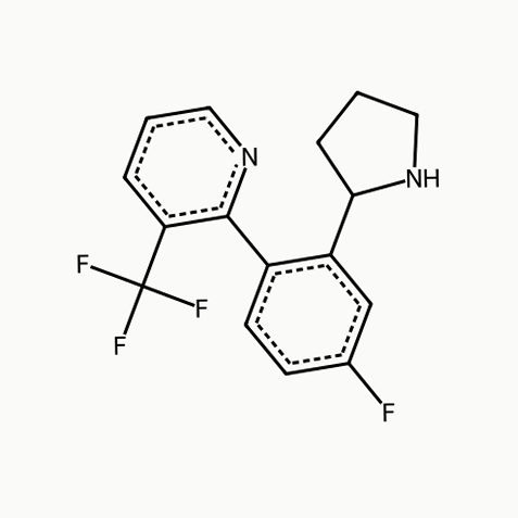 Fc1ccc(-c2ncccc2C(F)(F)F)c(C2CCCN2)c1